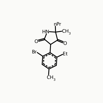 CCCC1(C)NC(=O)C(c2c(Br)cc(C)cc2CC)C1=O